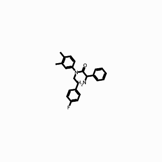 Cc1ccc(N(CCc2ccc(F)cc2)C(=O)C(N)c2ccccc2)cc1C